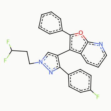 Fc1ccc(-c2nn(CCC(F)F)cc2-c2c(-c3ccccc3)oc3ncccc23)cc1